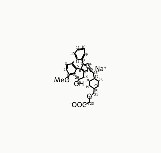 COc1cccc(-c2c(-c3ccccc3)nn(CC3CCC(COCC(=O)[O-])CC3)c2CCO)c1.[Na+]